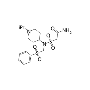 CC(C)N1CCC(N(CS(=O)(=O)c2ccccc2)S(=O)(=O)CC(N)=O)CC1